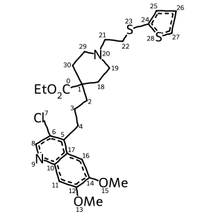 CCOC(=O)C1(CCCc2c(Cl)cnc3cc(OC)c(OC)cc23)CCN(CCSc2cccs2)CC1